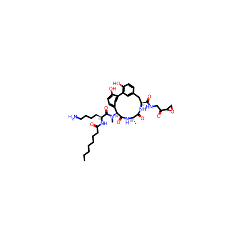 CCCCCCCC(=O)N[C@@H](CCCCN)C(=O)N(C)[C@@H]1C(=O)N[C@@H](C)C(=O)N[C@H](C(=O)NCC(=O)C2CO2)Cc2ccc(O)c(c2)-c2cc1ccc2O